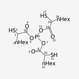 CCCCCCC(S)C(=O)OP(OC(=O)C(S)CCCCCC)OC(=O)C(S)CCCCCC